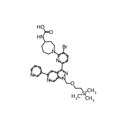 C[Si](C)(C)CCOCn1nc(-c2ccc(Br)c(N3CCCC(NC(=O)O)CC3)n2)c2cc(-c3cccnc3)ncc21